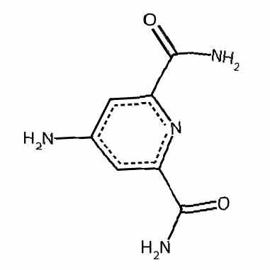 NC(=O)c1cc(N)cc(C(N)=O)n1